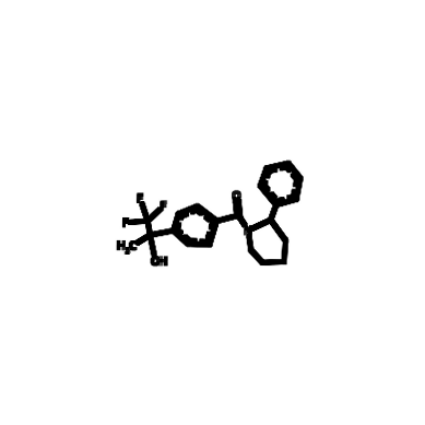 CC(O)(c1ccc(C(=O)N2CCCCC2c2ccccc2)cc1)C(F)(F)F